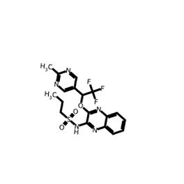 CCCS(=O)(=O)Nc1nc2ccccc2nc1OC(c1cnc(C)nc1)C(F)(F)F